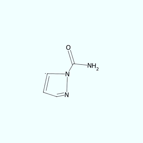 NC(=O)n1[c]ccn1